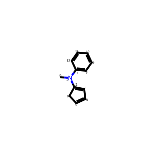 CN(C1=CC=CC1)c1ccccc1